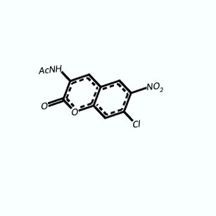 CC(=O)Nc1cc2cc([N+](=O)[O-])c(Cl)cc2oc1=O